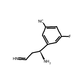 N#Cc1cc(F)cc([C@@H](N)CC=N)c1